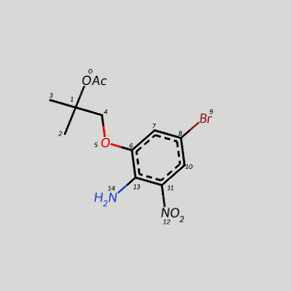 CC(=O)OC(C)(C)COc1cc(Br)cc([N+](=O)[O-])c1N